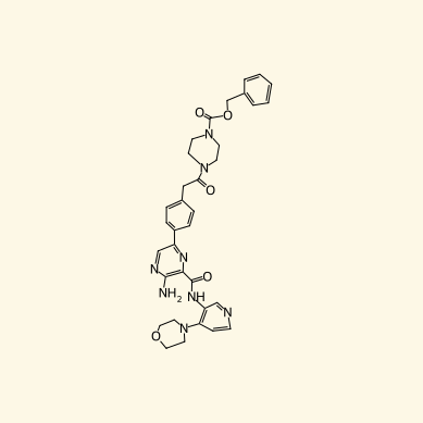 Nc1ncc(-c2ccc(CC(=O)N3CCN(C(=O)OCc4ccccc4)CC3)cc2)nc1C(=O)Nc1cnccc1N1CCOCC1